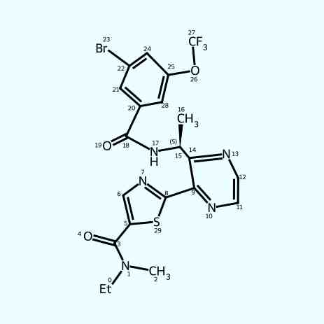 CCN(C)C(=O)c1cnc(-c2nccnc2[C@H](C)NC(=O)c2cc(Br)cc(OC(F)(F)F)c2)s1